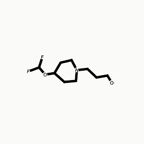 [O]CCCN1CCC(OC(F)F)CC1